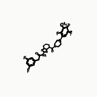 Cc1c(F)c(F)cc(N2CCN(C(=O)C3CCCc4sc(NC(=O)Cc5cc(F)cc(F)c5)nc43)CC2)c1F